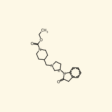 CCOC(=O)N1CCC(CN2CC[C@@H](N3C(=O)Cc4ccccc43)C2)CC1